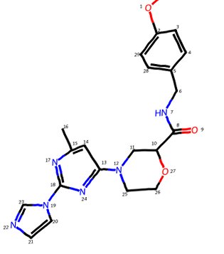 COc1ccc(CNC(=O)C2CN(c3cc(C)nc(-n4ccnc4)n3)CCO2)cc1